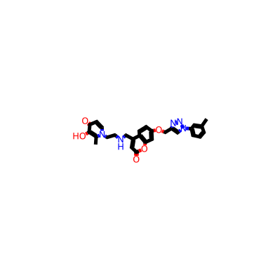 Cc1cccc(-n2cc(COc3ccc4c(CNCCn5ccc(=O)c(O)c5C)cc(=O)oc4c3)nn2)c1